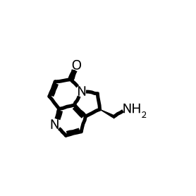 NC[C@@H]1Cn2c(=O)ccc3nccc1c32